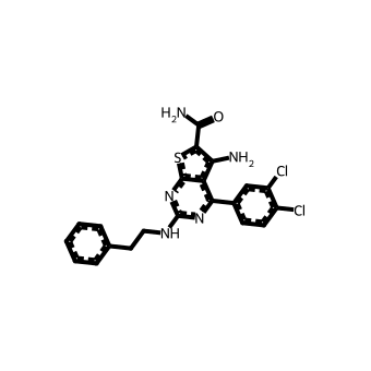 NC(=O)c1sc2nc(NCCc3ccccc3)nc(-c3ccc(Cl)c(Cl)c3)c2c1N